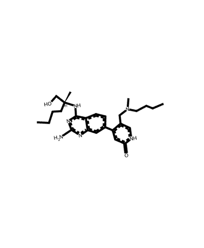 CCCCN(C)Cc1c[nH]c(=O)cc1-c1ccc2c(N[C@@](C)(CO)CCCC)nc(N)nc2c1